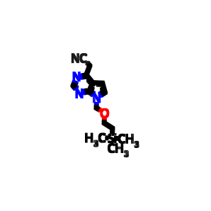 C[Si](C)(C)CCOCn1ccc2c(CC#N)ncnc21